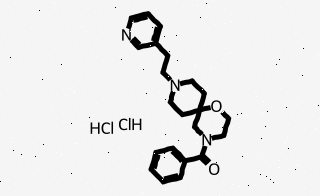 Cl.Cl.O=C(c1ccccc1)N1CCOC2(CCN(CCc3cccnc3)CC2)C1